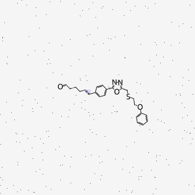 O=CCCC/C=C/c1ccc(-c2nnc(CSCCOc3ccccc3)o2)cc1